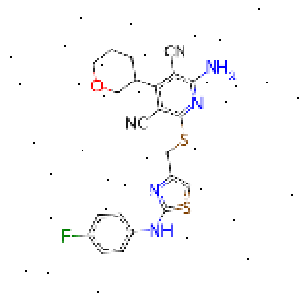 N#Cc1c(N)nc(SCc2csc(Nc3ccc(F)cc3)n2)c(C#N)c1C1CCCOC1